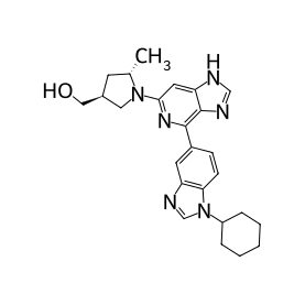 C[C@H]1C[C@H](CO)CN1c1cc2[nH]cnc2c(-c2ccc3c(c2)ncn3C2CCCCC2)n1